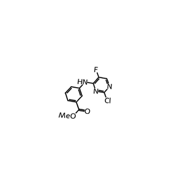 COC(=O)c1cccc(Nc2nc(Cl)ncc2F)c1